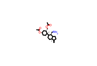 C=C1CCC2[C@H](CN)C([C@@]3(C)CC[C@H](OC(C)=O)C[C@@H]3COC(C)=O)CC[C@]12C